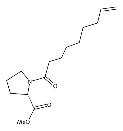 C=CCCCCCCC(=O)N1CCC[C@H]1C(=O)OC